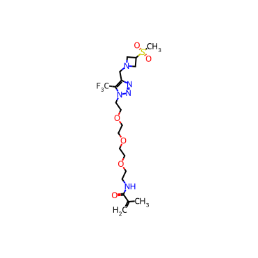 C=C(C)C(=O)NCCOCCOCCOCCn1nnc(CN2CC(S(C)(=O)=O)C2)c1C(F)(F)F